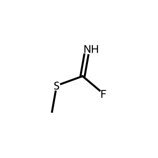 CSC(=N)F